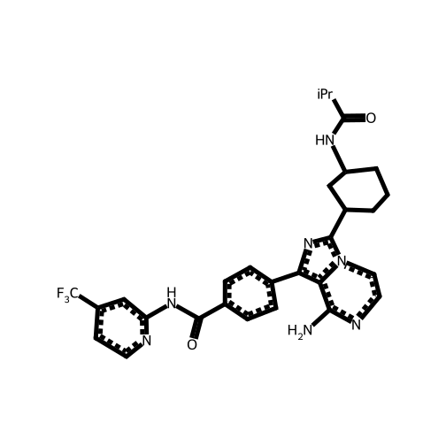 CC(C)C(=O)NC1CCCC(c2nc(-c3ccc(C(=O)Nc4cc(C(F)(F)F)ccn4)cc3)c3c(N)nccn23)C1